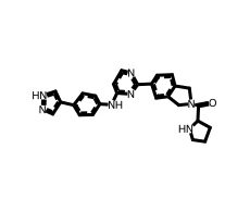 O=C(C1CCCN1)N1Cc2ccc(-c3nccc(Nc4ccc(-c5cn[nH]c5)cc4)n3)cc2C1